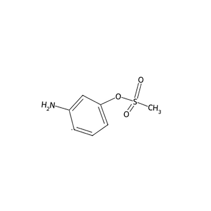 CS(=O)(=O)Oc1cc[c]c(N)c1